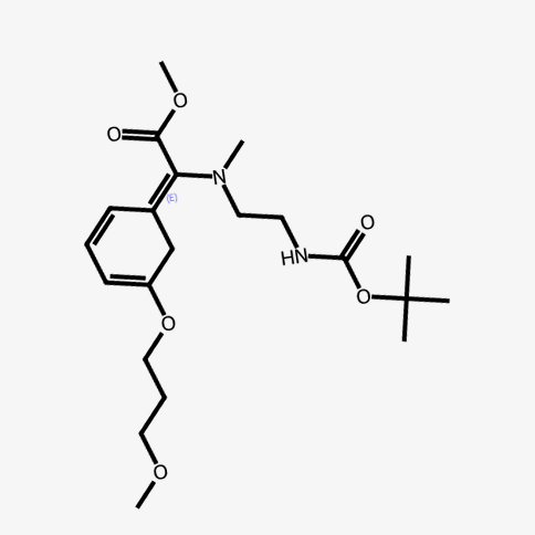 COCCCOC1=CC=C/C(=C(\C(=O)OC)N(C)CCNC(=O)OC(C)(C)C)C1